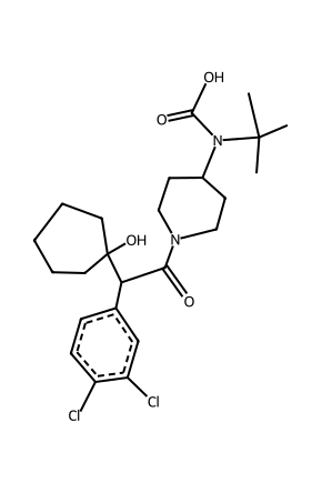 CC(C)(C)N(C(=O)O)C1CCN(C(=O)C(c2ccc(Cl)c(Cl)c2)C2(O)CCCCC2)CC1